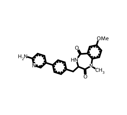 COc1ccc2c(c1)C(=O)NC(Cc1ccc(-c3ccc(N)nc3)cc1)C(=O)N2C